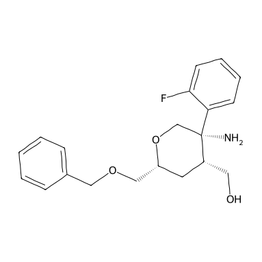 N[C@@]1(c2ccccc2F)CO[C@@H](COCc2ccccc2)C[C@H]1CO